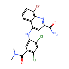 CN(C)C(=O)c1cc(Nc2cc(C(N)=O)nc3c(Br)cccc23)c(Cl)cc1Cl